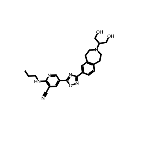 CCCNc1ncc(-c2nc(-c3ccc4c(c3)CCN(C(CO)CO)CC4)no2)cc1C#N